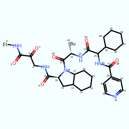 CCNC(=O)C(=O)CNC(=O)[C@@H]1CC2CCCCC2N1C(=O)[C@@H](NC(=O)C(NC(=O)c1ccncc1)C1CCCCC1)C(C)(C)C